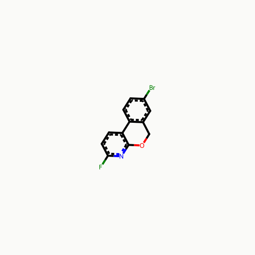 Fc1ccc2c(n1)OCc1cc(Br)ccc1-2